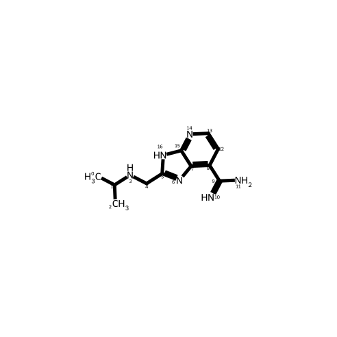 CC(C)NCc1nc2c(C(=N)N)ccnc2[nH]1